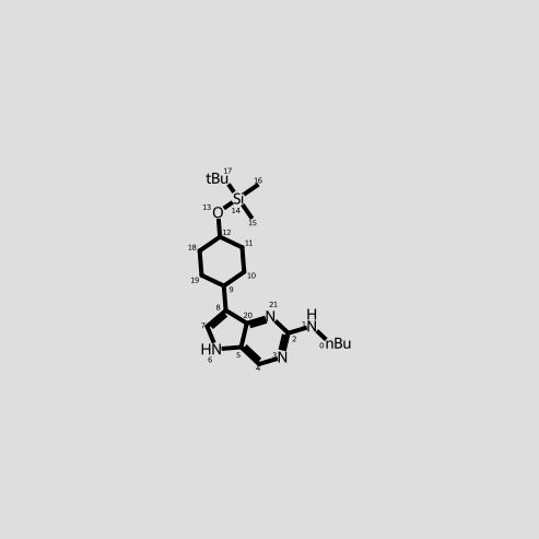 CCCCNc1ncc2[nH]cc(C3CCC(O[Si](C)(C)C(C)(C)C)CC3)c2n1